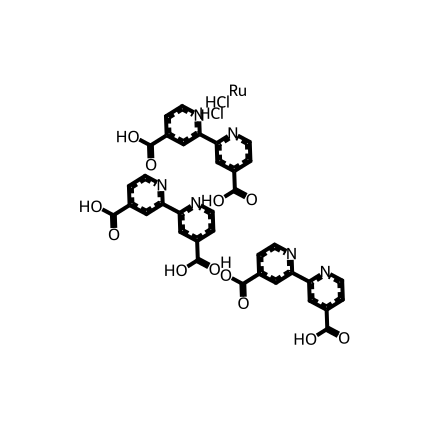 Cl.Cl.O=C(O)c1ccnc(-c2cc(C(=O)O)ccn2)c1.O=C(O)c1ccnc(-c2cc(C(=O)O)ccn2)c1.O=C(O)c1ccnc(-c2cc(C(=O)O)ccn2)c1.[Ru]